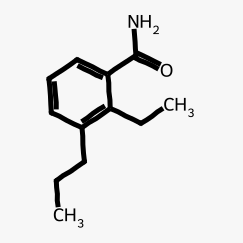 CCCc1cccc(C(N)=O)c1CC